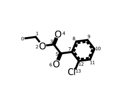 CCOC(=O)C(=O)c1ccccc1Cl